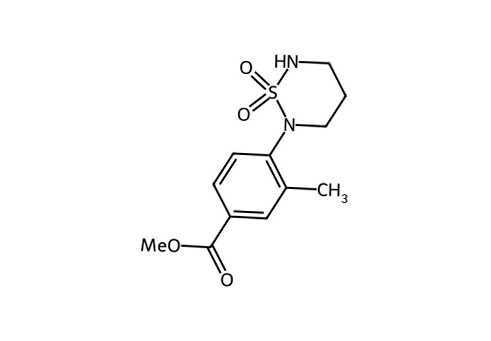 COC(=O)c1ccc(N2CCCNS2(=O)=O)c(C)c1